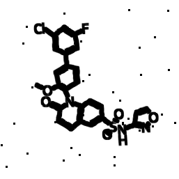 COc1cc(-c2cc(F)cc(Cl)c2)ccc1-n1c(=O)ccc2cc(S(=O)(=O)Nc3ccon3)ccc21